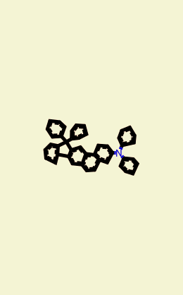 c1ccc(N(c2ccccc2)c2ccc3c(ccc4cc5c(cc43)C(c3ccccc3)(c3ccccc3)c3ccccc3-5)c2)cc1